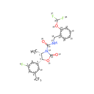 C[C@H]1[C@@H](c2cc(F)cc(C(F)(F)F)c2)OC(=O)N1C(=O)NCc1ccccc1OC(F)F